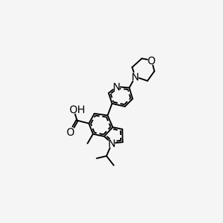 Cc1c(C(=O)O)cc(-c2ccc(N3CCOCC3)nc2)c2ccn(C(C)C)c12